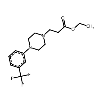 CCOC(=O)CCN1CCN(c2cccc(C(F)(F)F)c2)CC1